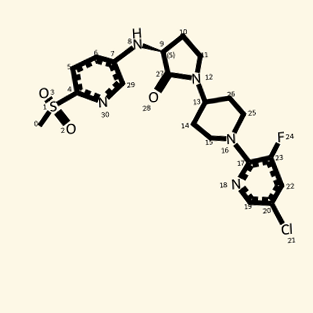 CS(=O)(=O)c1ccc(N[C@H]2CCN(C3CCN(c4ncc(Cl)cc4F)CC3)C2=O)cn1